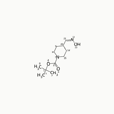 CC(C)(C)OC(=O)N1CCC(/C=N\O)CC1